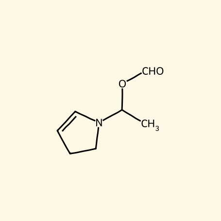 CC(OC=O)N1C=CCC1